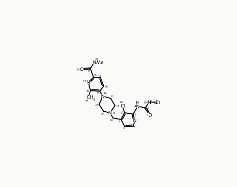 CCNC(=O)Nc1nccc(CN2CCN(c3ccc(C(=O)NC)nc3C)CC2)c1Cl